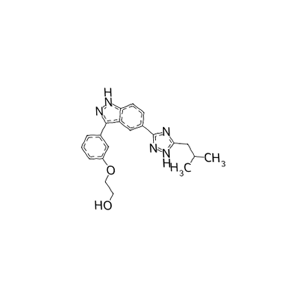 CC(C)Cc1nc(-c2ccc3[nH]nc(-c4cccc(OCCO)c4)c3c2)n[nH]1